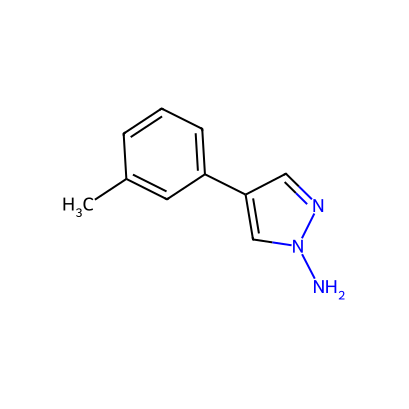 Cc1cccc(-c2cnn(N)c2)c1